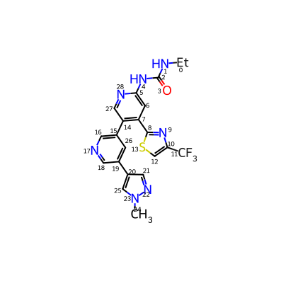 CCNC(=O)Nc1cc(-c2nc(C(F)(F)F)cs2)c(-c2cncc(-c3cnn(C)c3)c2)cn1